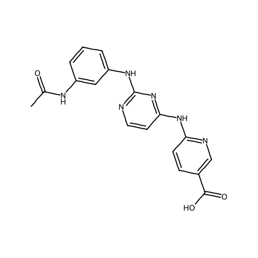 CC(=O)Nc1cccc(Nc2nccc(Nc3ccc(C(=O)O)cn3)n2)c1